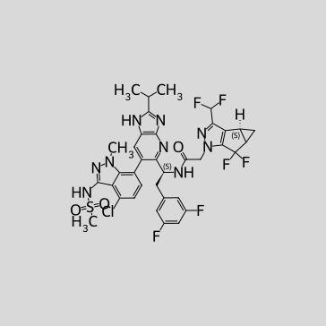 CC(C)c1nc2nc([C@H](Cc3cc(F)cc(F)c3)NC(=O)Cn3nc(C(F)F)c4c3C(F)(F)C3C[C@H]43)c(-c3ccc(Cl)c4c(NS(C)(=O)=O)nn(C)c34)cc2[nH]1